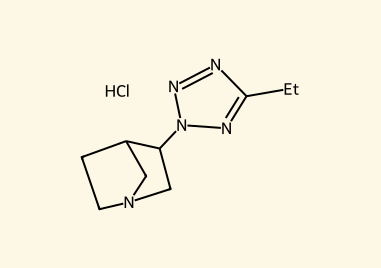 CCc1nnn(C2CN3CCC2C3)n1.Cl